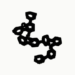 c1ccc(-c2cccc(-n3c4ccccc4c4ccc(-c5ccc6c7ccccc7n(-c7ccc(-c8ccccc8)c8oc9ccccc9c78)c6c5)cc43)c2)cc1